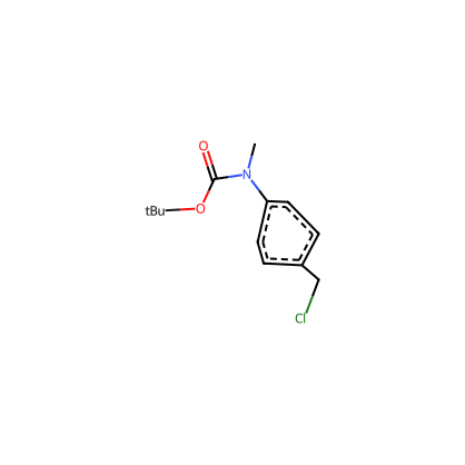 CN(C(=O)OC(C)(C)C)c1ccc(CCl)cc1